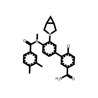 Cc1ccc(C(=O)N(C)c2ccc(-c3cc(C(N)=O)ccc3Cl)cc2N2CC3CC3C2)cc1C